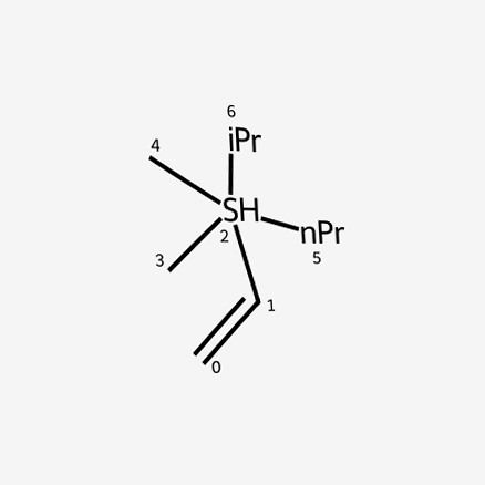 C=C[SH](C)(C)(CCC)C(C)C